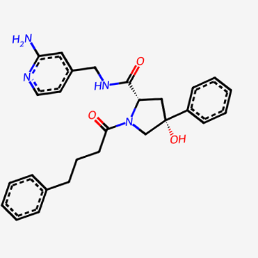 Nc1cc(CNC(=O)[C@@H]2C[C@@](O)(c3ccccc3)CN2C(=O)CCCc2ccccc2)ccn1